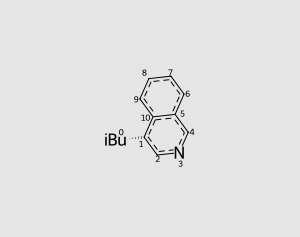 CC[C@@H](C)c1cncc2ccccc12